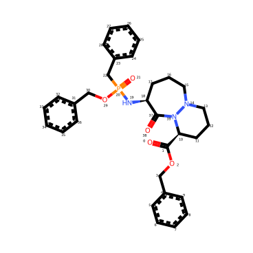 O=C(OCc1ccccc1)[C@@H]1CCCN2CCC[C@H](NP(=O)(Cc3ccccc3)OCc3ccccc3)C(=O)N12